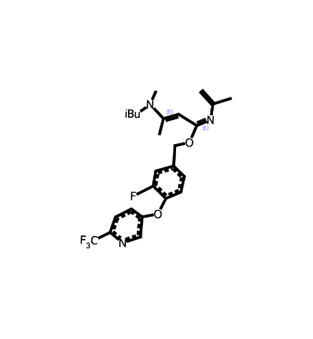 C=C(C)/N=C(\C=C(/C)N(C)C(C)CC)OCc1ccc(Oc2ccc(C(F)(F)F)nc2)c(F)c1